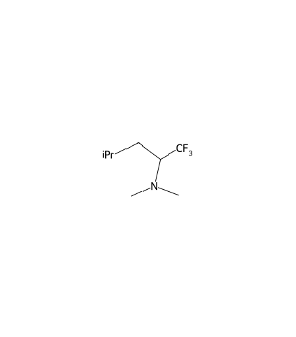 CC(C)CC(N(C)C)C(F)(F)F